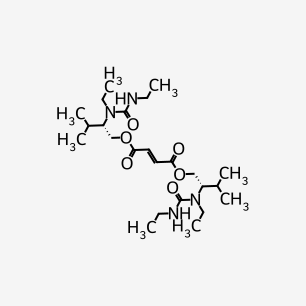 CCNC(=O)N(CC)[C@H](COC(=O)/C=C/C(=O)OC[C@H](C(C)C)N(CC)C(=O)NCC)C(C)C